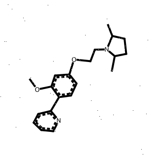 COc1cc(OCCN2C(C)CCC2C)ccc1-c1ccc[c]n1